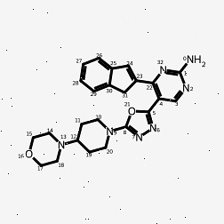 Nc1ncc(-c2nnc(N3CCC(N4CCOCC4)CC3)o2)c(C2=Cc3ccccc3C2)n1